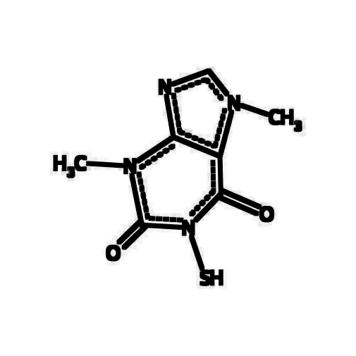 Cn1cnc2c1c(=O)n(S)c(=O)n2C